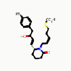 CC(C)c1ccc(CC(O)/C=C/[C@H]2CCCC(=O)N2C/C=C\CCSC(=O)O)cc1